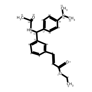 CCOC(=O)/C=C/c1cccc(C(NC(C)=O)c2ccc(N(C)C)cc2)c1